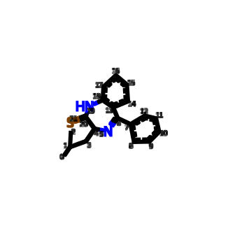 CC(C)CC1N=C(c2ccccc2)c2ccccc2NC1=S